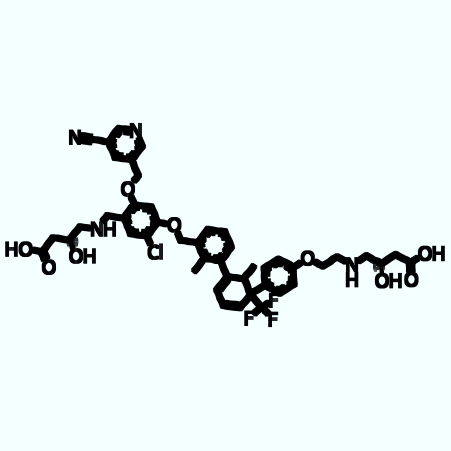 Cc1c(COc2cc(OCc3cncc(C#N)c3)c(CNC[C@@H](O)CC(=O)O)cc2Cl)cccc1C1=CC=CC(c2ccc(OCCNC[C@@H](O)CC(=O)O)cc2)(C(F)(F)F)C1C